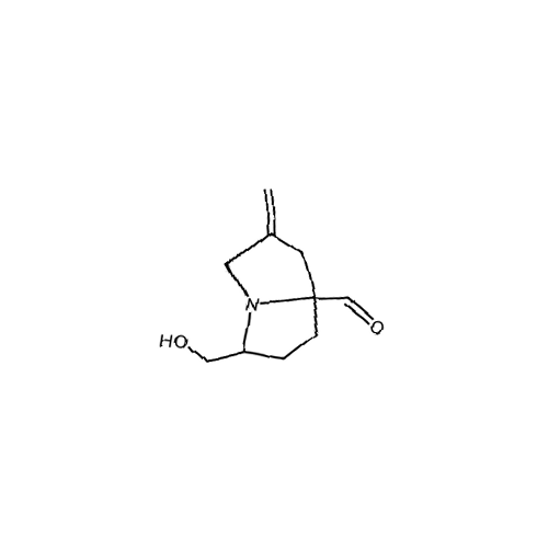 C=C1CN2C(CO)CCC2(C=O)C1